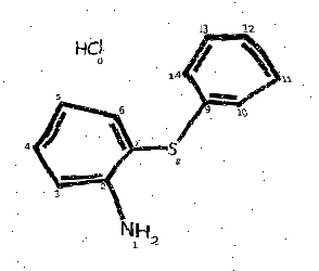 Cl.Nc1ccccc1Sc1ccccc1